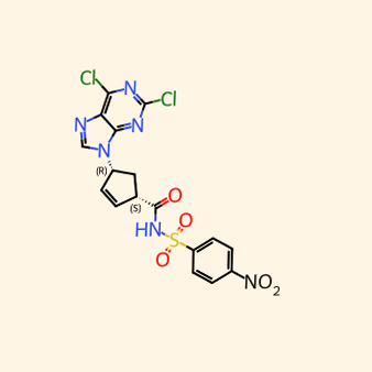 O=C(NS(=O)(=O)c1ccc([N+](=O)[O-])cc1)[C@@H]1C=C[C@H](n2cnc3c(Cl)nc(Cl)nc32)C1